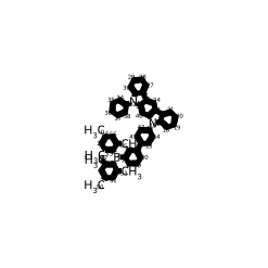 Cc1cc(C)c(B(c2cccc(-c3ccc(-n4c5ccccc5c5cc6c7ccccc7n(-c7ccccc7)c6cc54)cc3)c2)c2c(C)cc(C)cc2C)c(C)c1